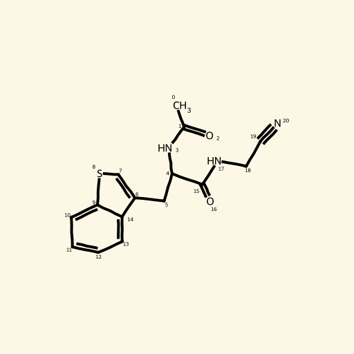 CC(=O)NC(Cc1csc2ccccc12)C(=O)NCC#N